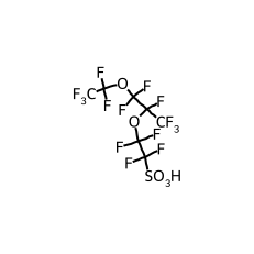 O=S(=O)(O)C(F)(F)C(F)(F)OC(F)(C(F)(F)F)C(F)(F)OC(F)(F)C(F)(F)F